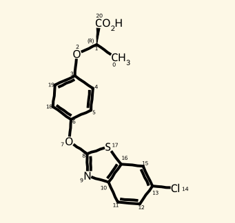 C[C@@H](Oc1ccc(Oc2nc3ccc(Cl)cc3s2)cc1)C(=O)O